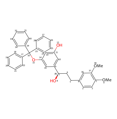 COc1ccc(CC[C@@H](O)c2cc(O)cc(OC(c3ccccc3)(c3ccccc3)c3ccccc3)c2)cc1OC